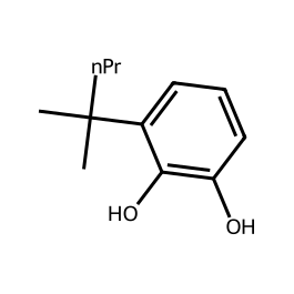 CCCC(C)(C)c1cccc(O)c1O